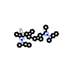 CC1(C)c2ccccc2-c2nc(-n3c4ccccc4c4cc5ccccc5cc43)nc(-c3ccc4c5c(c(-c6ccc7c(c6)-c6ccc(-c8nc(-n9c%10ccccc%10c%10cc%11ccccc%11cc%109)nc9c8sc8ccccc89)c8cccc-7c68)ccc35)-c3ccccc3-4)c21